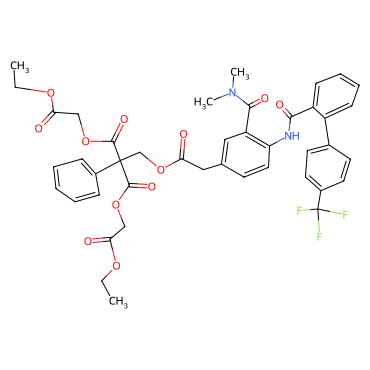 CCOC(=O)COC(=O)C(COC(=O)Cc1ccc(NC(=O)c2ccccc2-c2ccc(C(F)(F)F)cc2)c(C(=O)N(C)C)c1)(C(=O)OCC(=O)OCC)c1ccccc1